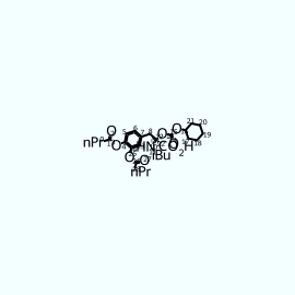 CCCC(=O)Oc1ccc(C[C@](NC(C)CC)(OC(=O)OC2CCCCC2)C(=O)O)cc1OC(=O)CCC